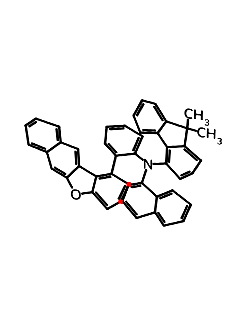 CC1(C)c2ccccc2-c2c(N(c3ccccc3-c3cccc4oc5cc6ccccc6cc5c34)c3cccc4ccccc34)cccc21